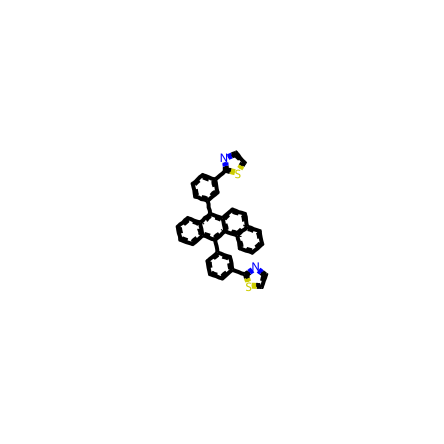 c1cc(-c2nccs2)cc(-c2c3ccccc3c(-c3cccc(-c4nccs4)c3)c3c2ccc2ccccc23)c1